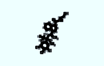 C=C(CC(ON)(c1cc(Cl)c(Cl)c(Cl)c1)C(F)(F)F)c1ccc(C(=O)NCCO)c2ccccc12